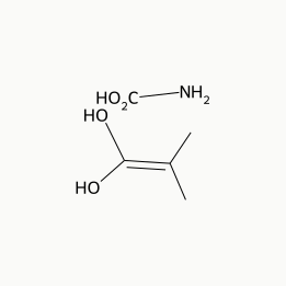 CC(C)=C(O)O.NC(=O)O